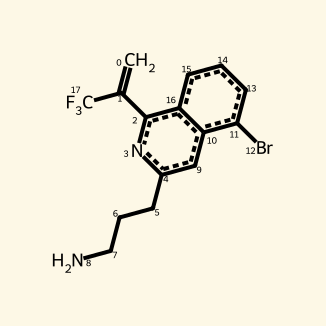 C=C(c1nc(CCCN)cc2c(Br)cccc12)C(F)(F)F